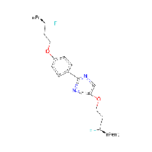 CCCCC[C@@H](F)CCOc1cnc(-c2ccc(OCC[C@H](F)CCC)cc2)nc1